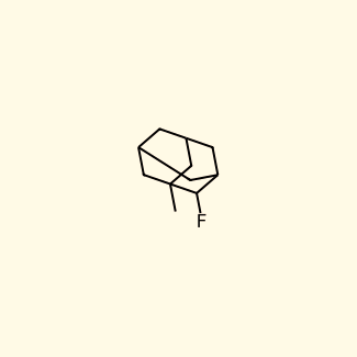 CC12CC3CC(CC(C3)C1F)C2